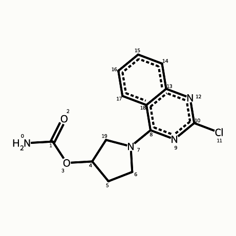 NC(=O)OC1CCN(c2nc(Cl)nc3ccccc23)C1